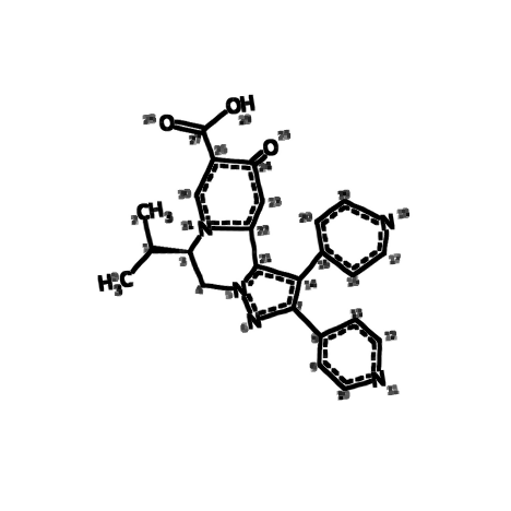 CC(C)[C@@H]1Cn2nc(-c3ccncc3)c(-c3ccncc3)c2-c2cc(=O)c(C(=O)O)cn21